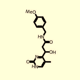 COc1ccc(CNC(=O)CC(O)c2nc(=O)[nH]cc2C)cc1